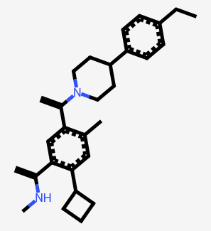 C=C(NC)c1cc(C(=C)N2CCC(c3ccc(CC)cc3)CC2)c(C)cc1C1CCC1